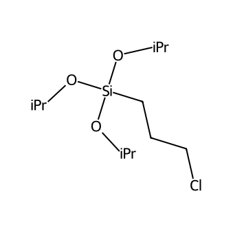 CC(C)O[Si](CCCCl)(OC(C)C)OC(C)C